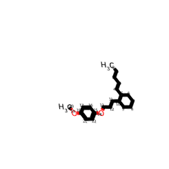 CCCCCC1CCCCC1CCCOc1ccc(OC)cc1